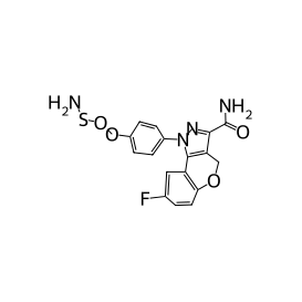 NSOOc1ccc(-n2nc(C(N)=O)c3c2-c2cc(F)ccc2OC3)cc1